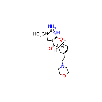 N[C@@H]1NC2=C(C[C@@H]1C(=O)O)C(=O)[C@H]1CC(CCN3CCOCC3)=CC[C@H]1O2